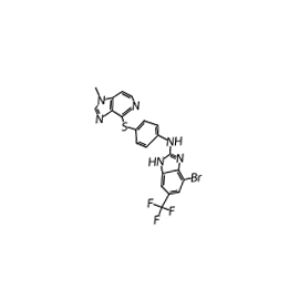 Cn1cnc2c(Sc3ccc(Nc4nc5c(Br)cc(C(F)(F)F)cc5[nH]4)cc3)nccc21